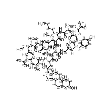 CCCCC[C@H](NC(=O)[C@H](CCC(N)=O)NC(=O)[C@H](Cc1ccc(O)cc1)NC(=O)CNC(=O)[C@H](CO)NC(=O)CC[C@@H](C)[C@H]1CCC2C3CCC4C[C@H](O)CC[C@]4(C)C3CC[C@@]21C)C(=O)N[C@@H](CCCCN)C(=O)N[C@@H](CC(C)C)C(=O)N[C@@H](CCCC)C(=O)N[C@@H](CO)C(=O)N[C@@H](CO)C(=O)N[C@H](C(=O)N[C@@H](CC(=O)O)C(C)=O)[C@@H](C)O